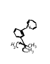 CC(C)(C)c1cccc(N2C=CC=CC=C2)c1